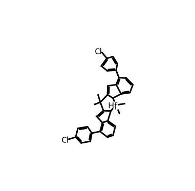 CC1(C)C2=Cc3c(-c4ccc(Cl)cc4)cccc3[CH]2[Hf]([CH3])([CH3])[CH]2C1=Cc1c(-c3ccc(Cl)cc3)cccc12